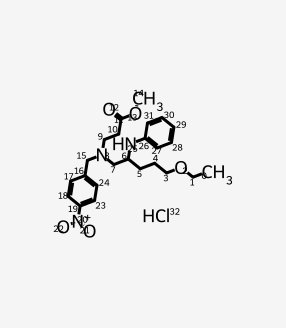 CCOCCCC(CN(CCC(=O)OC)Cc1ccc([N+](=O)[O-])cc1)Nc1ccccc1.Cl